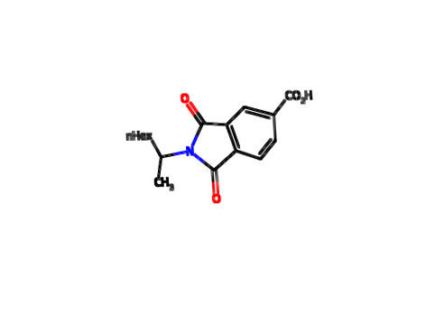 CCCCCCC(C)N1C(=O)c2ccc(C(=O)O)cc2C1=O